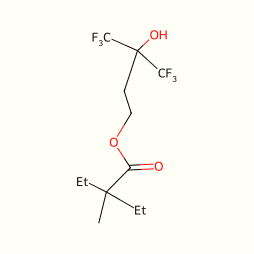 CCC(C)(CC)C(=O)OCCC(O)(C(F)(F)F)C(F)(F)F